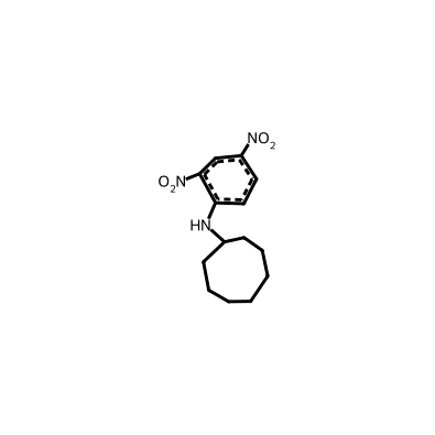 O=[N+]([O-])c1ccc(NC2CCCCCCC2)c([N+](=O)[O-])c1